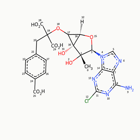 C[C@]1(O)[C@H](n2cnc3c(N)nc(Cl)nc32)O[C@@H]2C(OC(Cc3ccc(C(=O)O)cc3)(C(=O)O)C(=O)O)[C@@]21O